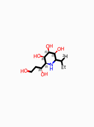 [2H]C(CC)C1N[C@@H]([C@H](O)CCO)[C@@H](O)[C@@H](O)[C@H]1O